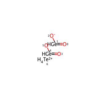 [O]=[GeH][O-].[O]=[GeH][O-].[TeH4+2]